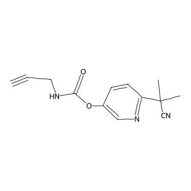 C#CCNC(=O)Oc1ccc(C(C)(C)C#N)nc1